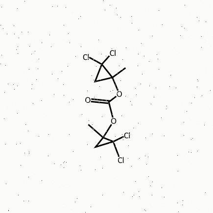 CC1(OC(=O)OC2(C)CC2(Cl)Cl)CC1(Cl)Cl